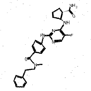 CN(CCc1ccccc1)C(=O)c1ccc(Nc2ncc(F)c(N[C@@H]3CCC[C@@H]3C(N)=O)n2)cc1